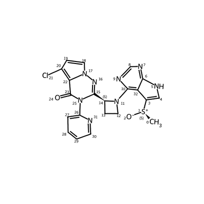 C[S@@+]([O-])c1c[nH]c2ncnc(N3CC[C@H]3c3nn4ccc(Cl)c4c(=O)n3-c3ccccn3)c12